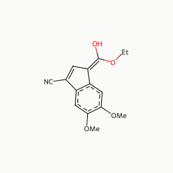 CCO/C(O)=C1/C=C(C#N)c2cc(OC)c(OC)cc21